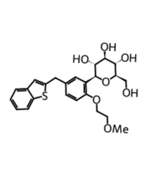 COCCOc1ccc(Cc2cc3ccccc3s2)cc1[C@@H]1O[C@H](CO)[C@@H](O)[C@H](O)[C@H]1O